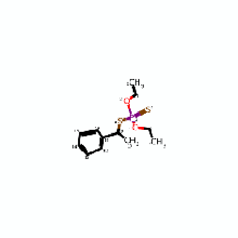 CCOP(=S)(OCC)SC(C)c1ccccc1